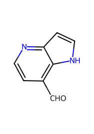 O=Cc1ccnc2cc[nH]c12